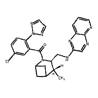 C[C@@H]1C2CC(C2)N(C(=O)c2cc(Cl)ccc2-n2nccn2)C1CNc1cnc2ncccc2n1